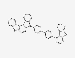 c1ccc2c(c1)oc1cccc(-c3ccc(-c4ccc(-n5c6ccccc6c6c7c(ccc65)sc5ccccc57)cc4)cc3)c12